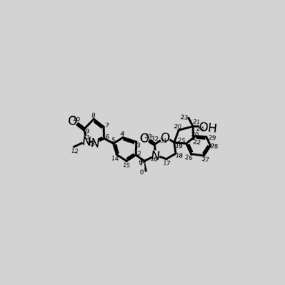 C[C@@H](c1ccc(-c2ccc(=O)n(C)n2)cc1)N1CCC(CC(C)(C)O)(c2ccccc2)OC1=O